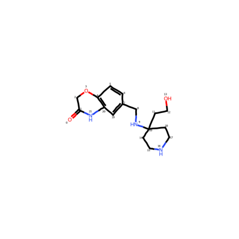 O=C1COc2ccc(CNC3(CCO)CCNCC3)cc2N1